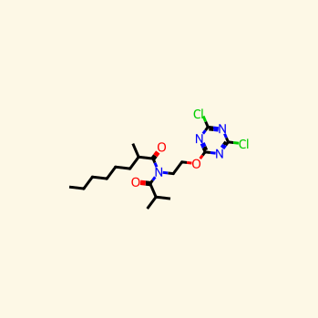 CCCCCCC(C)C(=O)N(CCOc1nc(Cl)nc(Cl)n1)C(=O)C(C)C